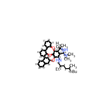 CCCCC(C)CCC(CC)CNc1c2c(c3oc4ccccc4c4ccccc4oc3c1Oc1ccc3ccccc3c1)C(C)(C)NC2N(C)C